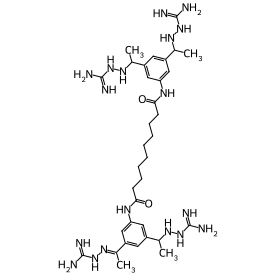 C/C(=N\NC(=N)N)c1cc(NC(=O)CCCCCCCCC(=O)Nc2cc(C(C)NNC(=N)N)cc(C(C)NNC(=N)N)c2)cc(C(C)NNC(=N)N)c1